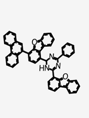 c1ccc(C2=NC(c3ccc(-c4cc5ccccc5c5ccccc45)c4oc5ccccc5c34)NC(c3cccc4c3oc3ccccc34)=N2)cc1